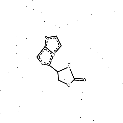 O=C1NC(c2ncc3sccn23)CO1